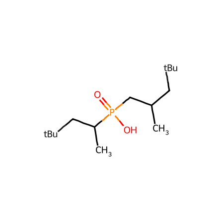 CC(CC(C)(C)C)CP(=O)(O)C(C)CC(C)(C)C